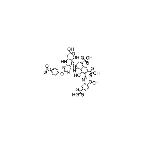 COc1ccc(S(=O)(=O)O)cc1N=Nc1c(S(=O)(=O)O)cc2c(S(=O)(=O)O)ccc(Nc3nc(NC(CC(=O)O)C(=O)O)nc(Oc4ccc([N+](=O)[O-])cc4)n3)c2c1O